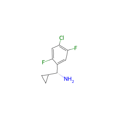 N[C@@H](c1cc(F)c(Cl)cc1F)C1CC1